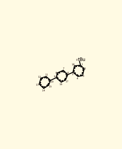 CC(C)(C)c1[c]ccc(-c2ccc(-c3ccccc3)cc2)c1